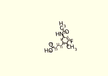 CC(=O)Nc1cc(F)c(C)c(CCCC(=O)O)c1